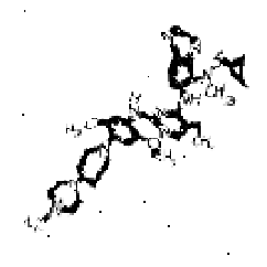 CCc1cnc(Nc2cc(C)c(N3CCC(N4CCN(C)CC4)CC3)cc2OC)nc1Nc1ccc2nccnc2c1N(C)SC1CC1